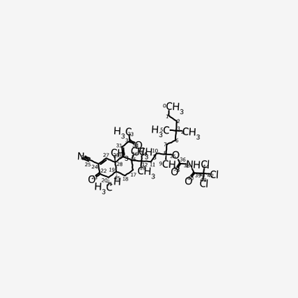 CCCC(C)(C)CC[C@@](C)(CCC(C)(C)[C@]1(C)CC[C@H]2[C@H](C)C(=O)C(C#N)=C[C@]2(C)/C1=C/C(C)=O)OC(=O)NC(=O)C(Cl)(Cl)Cl